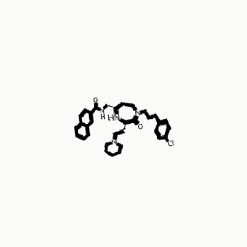 O=C(NC[C@@H]1CCN(CCCc2ccc(Cl)cc2)C(=O)[C@H](CCN2CCCCC2)N1)c1ccc2ccccc2c1